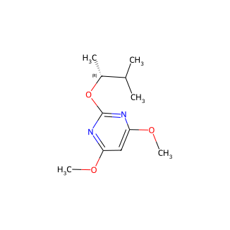 COc1cc(OC)nc(O[C@H](C)C(C)C)n1